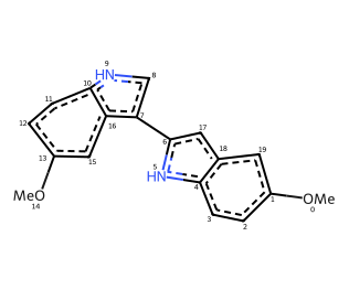 COc1ccc2[nH]c(-c3c[nH]c4ccc(OC)cc34)cc2c1